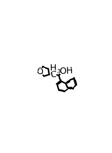 C1CCOC1.CC(O)c1cccc2ccccc12